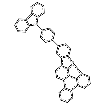 c1ccc2c(c1)c1cccc3c1c1c2ccc2c4cc(-c5ccc(-n6c7ccccc7c7ccccc76)cc5)ccc4n3c21